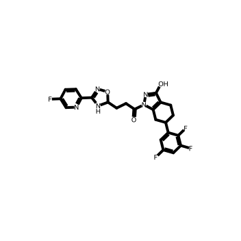 O=C(CCC1NC(c2ccc(F)cn2)=NO1)n1nc(O)c2c1CC(c1cc(F)cc(F)c1F)CC2